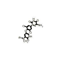 CC(C)N(C)c1cc(Oc2c(Cl)cc(-n3nc(N)c(=O)[nH]c3=O)cc2Cl)c[nH]c1=O